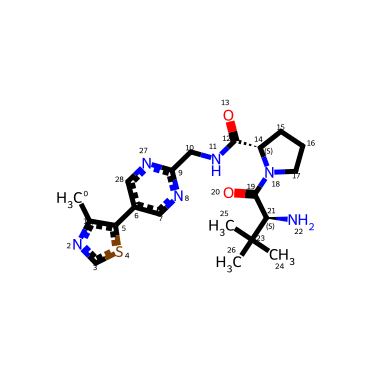 Cc1ncsc1-c1cnc(CNC(=O)[C@@H]2CCCN2C(=O)[C@@H](N)C(C)(C)C)nc1